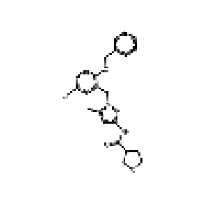 Cc1cc(NC(=O)C2CCOC2)nn1Cc1cc(Cl)ccc1OCc1ccccc1